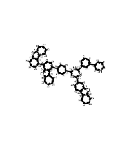 c1cncc(-c2cccc(-c3nc(-c4ccc(-c5ccc(-c6cccc7sc8ccccc8c67)c6oc7ccccc7c56)cc4)nc(-c4ccc5c(c4)oc4ccccc45)n3)c2)c1